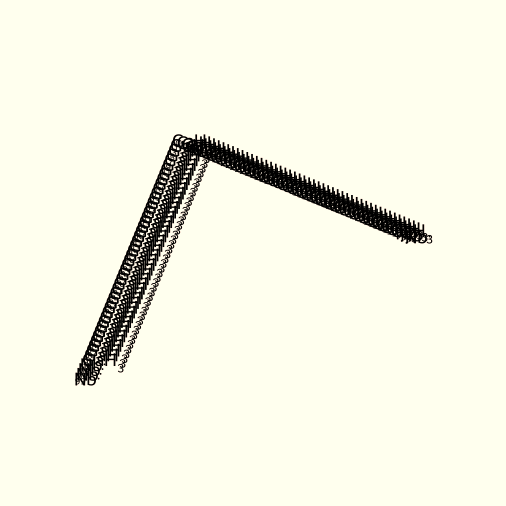 [GaH3].[GaH3].[GaH3].[GaH3].[GaH3].[GaH3].[GaH3].[GaH3].[GaH3].[GaH3].[GaH3].[GaH3].[GaH3].[GaH3].[GaH3].[GaH3].[GaH3].[GaH3].[GaH3].[GaH3].[GaH3].[GaH3].[GaH3].[GaH3].[GaH3].[GaH3].[GaH3].[GaH3].[GaH3].[GaH3].[GaH3].[GaH3].[GaH3].[GaH3].[GaH3].[GaH3].[GaH3].[GaH3].[GaH3].[GaH3].[GaH3].[GaH3].[GaH3].[GaH3].[GaH3].[GaH3].[GaH3].[GaH3].[GaH3].[GaH3].[GaH3].[GaH3].[GaH3].[GaH3].[GaH3].[GaH3].[GaH3].[GaH3].[GaH3].[GaH3].[GaH3].[GaH3].[GaH3].[GaH3].[GaH3].[GaH3].[GaH3].[GaH3].[GaH3].[GaH3].[GaH3].[GaH3].[GaH3].[GaH3].[GaH3].[GaH3].[GaH3].[GaH3].[GaH3].[GaH3].[GaH3].[GaH3].[GaH3].[GaH3].[GaH3].[GaH3].[GaH3].[GaH3].[GaH3].[GaH3].[GaH3].[GaH3].[GaH3].[Nb].[Nb].[Nb].[Nb].[Nb].[Nb].[Nb]